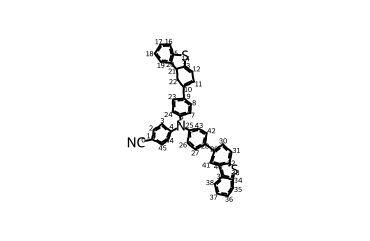 N#Cc1ccc(N(c2ccc(C3=CC=C4Sc5ccccc5C4C3)cc2)c2ccc(-c3ccc4sc5ccccc5c4c3)cc2)cc1